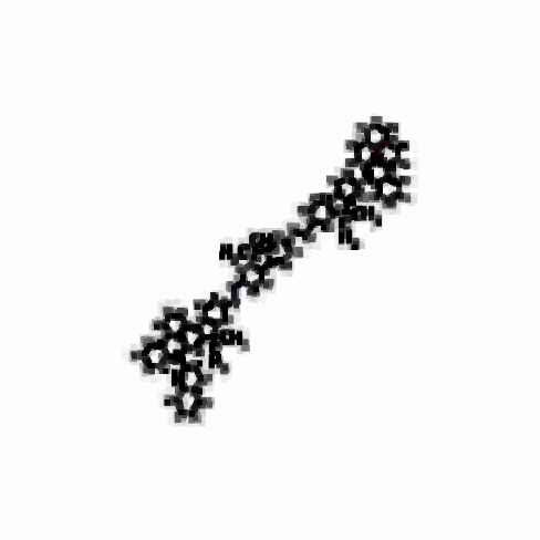 CC1(C)c2cc(/C=C/c3ccc4c(c3)C(C)(C)c3cc(N(C5=CCC6C=CC=CC6=N5)c5ccccc5-c5ccccc5)ccc3-4)ccc2-c2ccc(/C=C/c3ccc4c(c3)C(C)(C)c3cc(N(c5ccc6ccccc6n5)c5ccccc5-c5ccccc5)ccc3-4)cc21